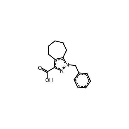 O=C(O)c1nn(Cc2ccccc2)c2c1CCCCC2